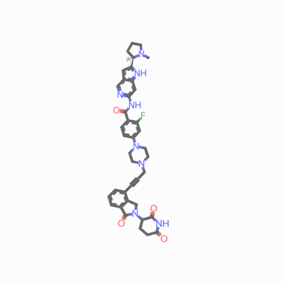 CN1CCC[C@@H]1c1cc2cnc(NC(=O)c3ccc(N4CCN(CC#Cc5cccc6c5CN(C5CCC(=O)NC5=O)C6=O)CC4)cc3F)cc2[nH]1